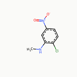 CNc1cc([N+](=O)[O-])ccc1Cl